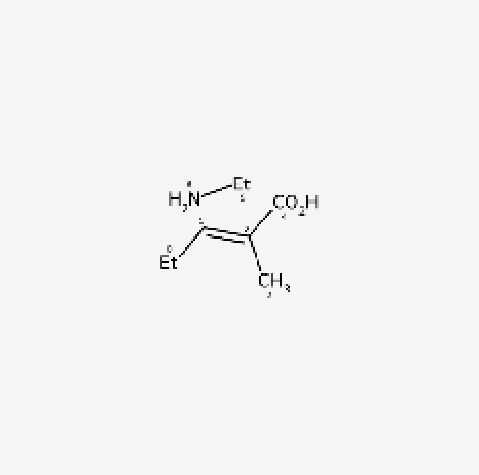 CC/C=C(\C)C(=O)O.CCN